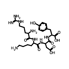 N=C(N)NCCCC(N)C(=O)NC(CCCCN)C(=O)NC(CC(=O)O)C(=O)NC(Cc1ccc(O)cc1)C(=O)O